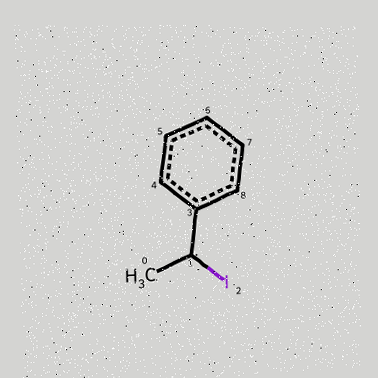 C[C](I)c1ccccc1